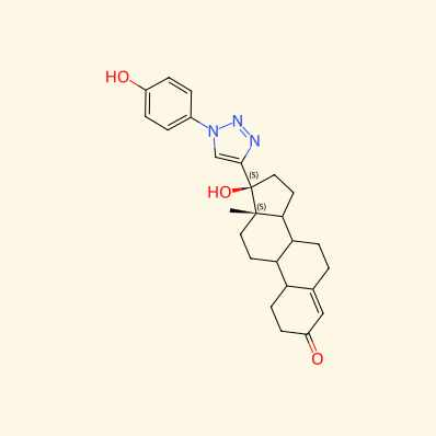 C[C@]12CCC3C4CCC(=O)C=C4CCC3C1CC[C@@]2(O)c1cn(-c2ccc(O)cc2)nn1